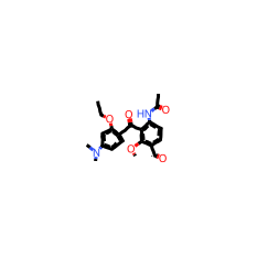 CCOc1cc(N(C)C)ccc1C(=O)c1c(NC(C)=O)ccc([C]=O)c1OC